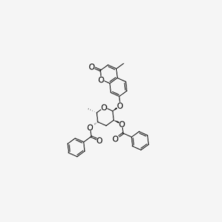 Cc1cc(=O)oc2cc(O[C@@H]3O[C@@H](C)[C@@H](OC(=O)c4ccccc4)C[C@@H]3OC(=O)c3ccccc3)ccc12